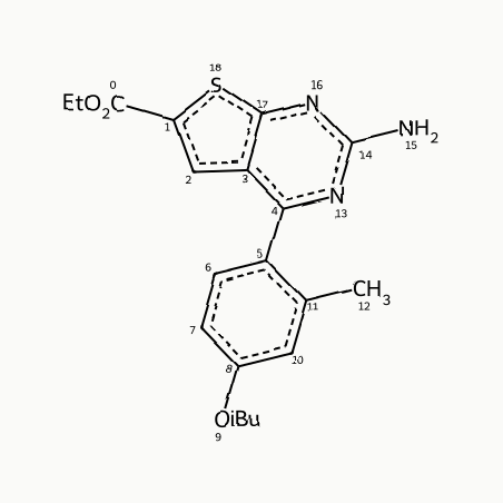 CCOC(=O)c1cc2c(-c3ccc(OCC(C)C)cc3C)nc(N)nc2s1